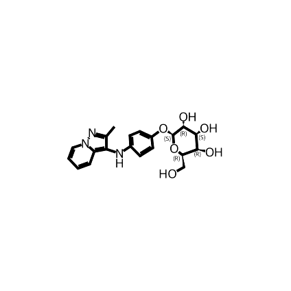 Cc1nn2ccccc2c1Nc1ccc(O[C@@H]2O[C@H](CO)[C@H](O)[C@H](O)[C@H]2O)cc1